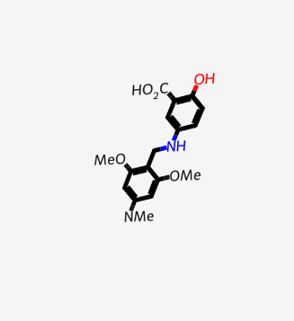 CNc1cc(OC)c(CNc2ccc(O)c(C(=O)O)c2)c(OC)c1